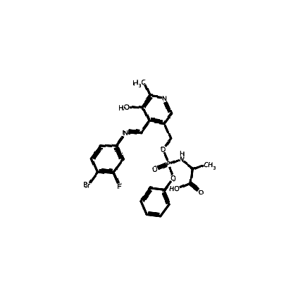 Cc1ncc(COP(=O)(NC(C)C(=O)O)Oc2ccccc2)c(/C=N/c2ccc(Br)c(F)c2)c1O